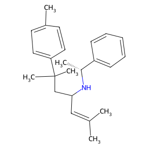 CC(C)=CC(CC(C)(C)c1ccc(C)cc1)N[C@H](C)c1ccccc1